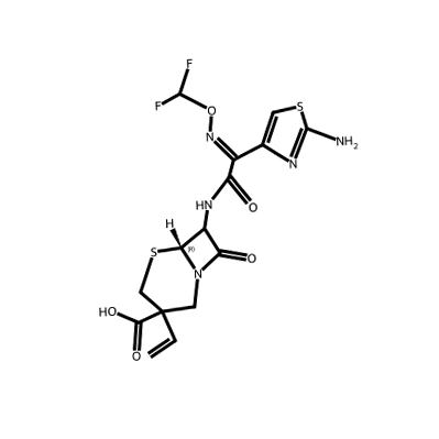 C=CC1(C(=O)O)CS[C@@H]2C(NC(=O)C(=NOC(F)F)c3csc(N)n3)C(=O)N2C1